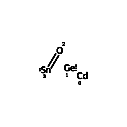 [Cd].[Ge].[O]=[Sn]